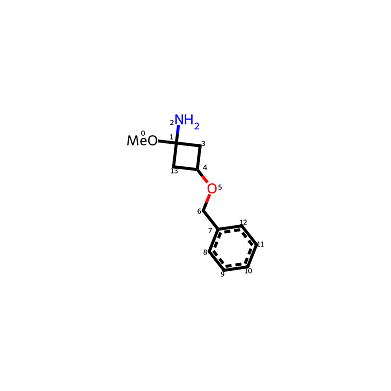 COC1(N)CC(OCc2ccccc2)C1